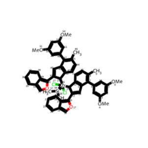 COc1cc(OC)cc(-c2c(C)ccc3c2C=C(c2occ4ccccc24)[CH]3[Zr]([Cl])([Cl])([CH]2C(c3occ4ccccc34)=Cc3c2ccc(C)c3-c2cc(OC)cc(OC)c2)=[Si](C)C)c1